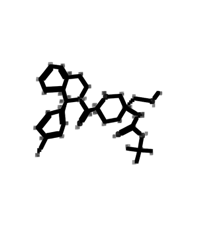 COC[C@]1(NC(=O)OC(C)(C)C)CC[C@@H](C(=O)N2CCc3ccccc3[C@@H]2c2ccc(F)cc2)OC1